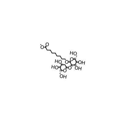 COC(=O)CCCCCCCCO[C@H]1O[C@H](CO)[C@@H](O)[C@H](O)[C@H]1O[C@@H]1C[C@H](O)[C@@H](O)[C@@H](CO)O1